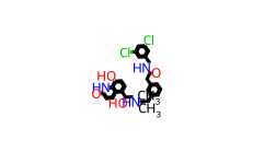 CC(C)(Cc1cccc(CC(=O)NCc2cc(Cl)cc(Cl)c2)c1)NC[C@H](O)c1ccc(O)c2[nH]c(=O)ccc12